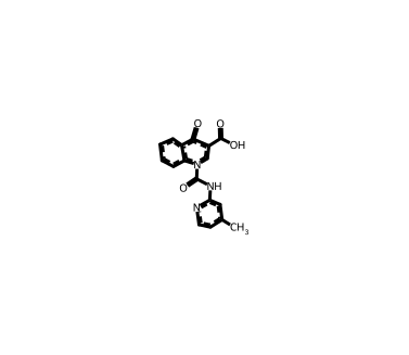 Cc1ccnc(NC(=O)n2cc(C(=O)O)c(=O)c3ccccc32)c1